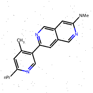 CCCc1cc(C)c(-c2cc3cnc(NC)cc3cn2)cn1